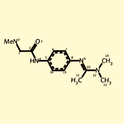 CNCC(=O)Nc1ccc(/N=C(\C)N(C)C)cc1